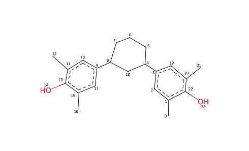 Cc1cc(C2CCCC(c3cc(C)c(O)c(C)c3)C2)cc(C)c1O